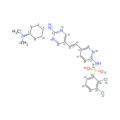 CN(C)[C@H]1CC[C@H](Nc2ncc(/C=C/c3ccc(NS(=O)(=O)c4cccc(Cl)c4Cl)nc3)cn2)CC1